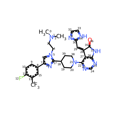 CN(C)CCn1cc(-c2ccc(F)c(C(F)(F)F)c2)nc1C1CCN(c2ncnc3c2C(=Cc2ncc[nH]2)C(=O)N3)CC1